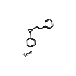 COc1ccc(C2CC2CCc2ccccc2)cc1